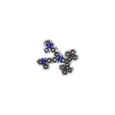 c1ccc(-n2c(-c3ccc(-c4ccc(-c5nc6cc(-c7ccc8c(c7)C(c7ccccc7)(c7ccccc7)c7ccccc7-8)c(-c7ccc8c(c7)C(c7ccccc7)(c7ccccc7)c7ccccc7-8)cc6nc5-c5ccc(-c6ccc(-c7nc8ccccc8n7-c7ccccc7)cc6)cc5)cc4)cc3)nc3ccccc32)cc1